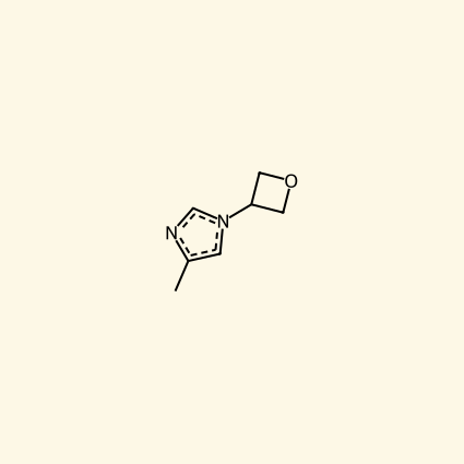 Cc1cn(C2COC2)cn1